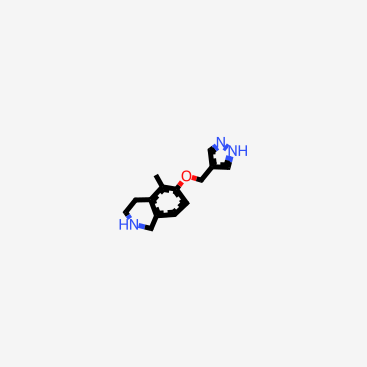 Cc1c(OCc2cn[nH]c2)ccc2c1CCNC2